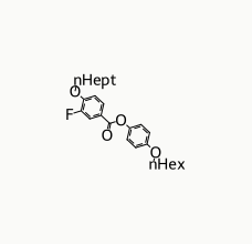 CCCCCCCOc1ccc(C(=O)Oc2ccc(OCCCCCC)cc2)cc1F